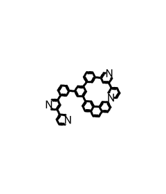 c1cncc(-c2cncc(-c3cccc(-c4cc(-c5cccc(-c6cncc(-c7cccnc7)c6)c5)cc(-c5ccc6ccc7ccccc7c6c5)c4)c3)c2)c1